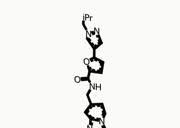 CC(C)Cn1cc(-c2ccc(C(=O)NCc3ccn4ccnc4c3)o2)cn1